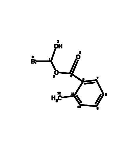 CCC(O)OC(=O)c1ccccc1C